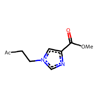 COC(=O)c1cn(CCC(C)=O)cn1